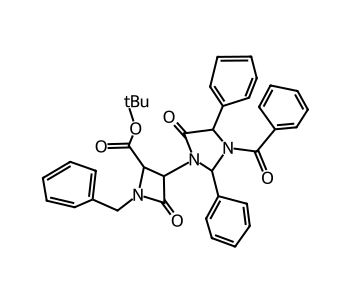 CC(C)(C)OC(=O)C1C(N2C(=O)C(c3ccccc3)N(C(=O)c3ccccc3)C2c2ccccc2)C(=O)N1Cc1ccccc1